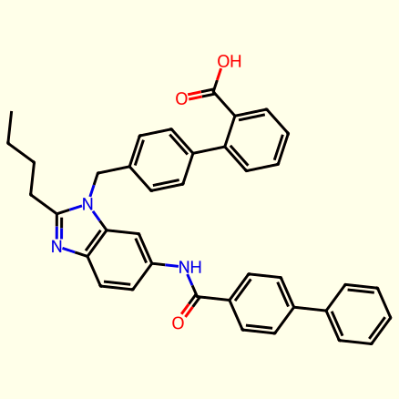 CCCCc1nc2ccc(NC(=O)c3ccc(-c4ccccc4)cc3)cc2n1Cc1ccc(-c2ccccc2C(=O)O)cc1